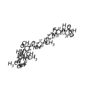 COc1cc(C(=O)NC2CCC(N(C)CC3CCN(c4ccc(NC5CCC(=O)NC5=O)cc4F)CC3)CC2)ccc1Nc1ncc2c(n1)N(C(C)C)CC(F)(F)C(=O)N2C